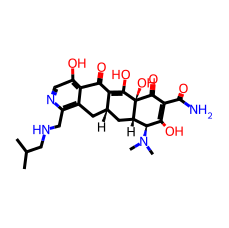 CC(C)CNCc1ncc(O)c2c1C[C@H]1C[C@H]3[C@H](N(C)C)C(O)=C(C(N)=O)C(=O)[C@@]3(O)C(O)=C1C2=O